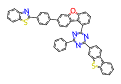 c1ccc(-c2nc(-c3ccc4c(c3)sc3ccccc34)nc(-c3cccc4oc5cc(-c6ccc(-c7nc8ccccc8s7)cc6)ccc5c34)n2)cc1